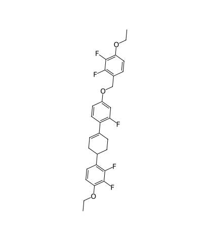 CCOc1ccc(COc2ccc(C3=CCC(c4ccc(OCC)c(F)c4F)CC3)c(F)c2)c(F)c1F